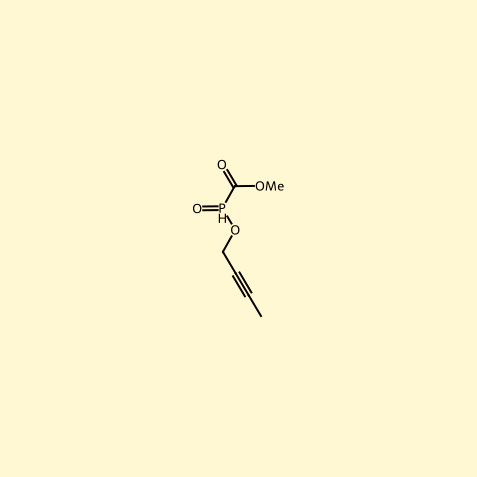 CC#CCO[PH](=O)C(=O)OC